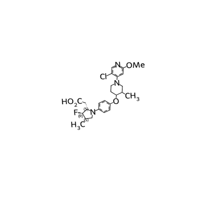 COc1cc(N2CCC(Oc3ccc(N4C[C@H](C)[C@@H](F)[C@@H]4CC(=O)O)cc3)C(C)C2)c(Cl)cn1